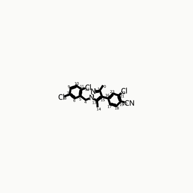 Cc1nn(Cc2cc(Cl)ccc2Cl)c(C)c1-c1ccc(C#N)c(Cl)c1